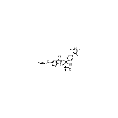 CC#CCOc1ccc2c(c1)C(=O)N(C[C@@]1(c3ccc(-c4c(C)nn(C)c4C)cc3)NC(=O)NC1=O)C2